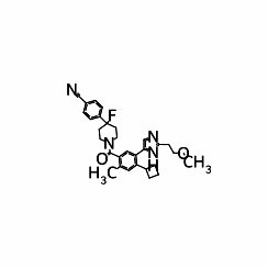 COCCc1ncc(-c2cc(C(=O)N3CCC(F)(c4ccc(C#N)cc4)CC3)c(C)cc2C2CCC2)[nH]1